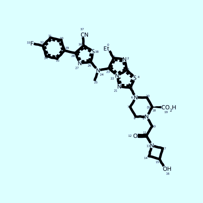 CCc1nc2sc(N3CCN(CC(=O)N4CC(O)C4)[C@H](C(=O)O)C3)nn2c1N(C)c1nc(-c2ccc(F)cc2)c(C#N)s1